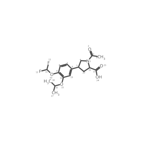 CC(=O)N1CC(c2ccc(OC(F)F)c(OC(C)C)c2)CC1C(=O)O